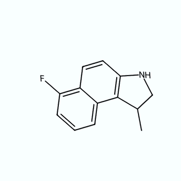 CC1CNc2ccc3c(F)cccc3c21